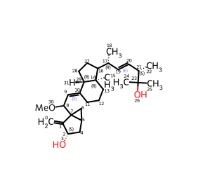 C=C1[C@@H](O)CC2CC12C(/C=C1\CCC[C@]2(C)C([C@H](C)/C=C/[C@H](C)C(C)(C)O)CC[C@@H]12)OC